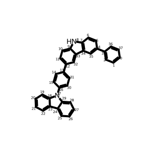 c1ccc(-c2ccc3[nH]c4ccc(-c5ccc(-n6c7ccccc7c7ccccc76)cc5)cc4c3c2)cc1